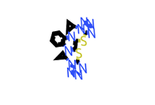 c1ccc2nc(Sc3nnnn3C3CC3)c(Sc3nnnn3C3CC3)nc2c1